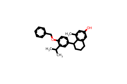 Cc1cc(O)cc2c1C(c1ccc(OCc3ccccc3)c(C(C)C)c1)CCC2